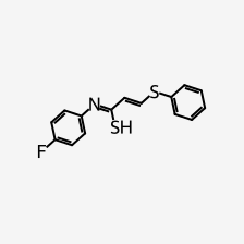 Fc1ccc(N=C(S)C=CSc2ccccc2)cc1